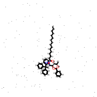 CCCCCCCCCCCCCCCC(=O)N[C@@H](CC(c1ccccc1)(c1ccccc1)c1ccccc1)[C@@H](CCC)OC(=O)c1ccccc1